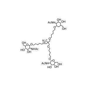 CC(=O)NC1[C@H](OCCCCCOCC(C)(COCCCCCO[C@@H]2OC(CO)[C@@H](O)[C@H](O)C2NC(C)=O)COCCCCCO[C@@H]2CC(CO)[C@@H](O)[C@H](O)C2NC(C)=O)OC(CO)[C@@H](O)[C@@H]1O